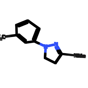 CNC1=NN(c2cccc(C(F)(F)F)c2)CC1